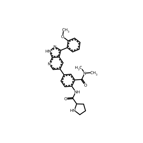 COc1ccccc1-c1n[nH]c2ncc(-c3ccc(NC(=O)C4CCCN4)c(C(=O)N(C)C)c3)cc12